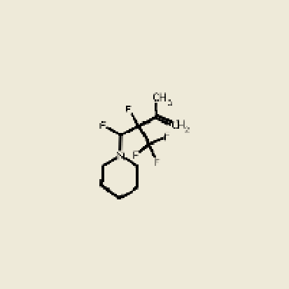 C=C(C)C(F)(C(F)N1CCCCC1)C(F)(F)F